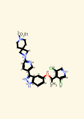 CCOC(=O)N1CCC2(CC1)CN(c1ccc(-c3n[nH]c4ccc(OC(C)c5c(Cl)cncc5Cl)cc34)cn1)C2